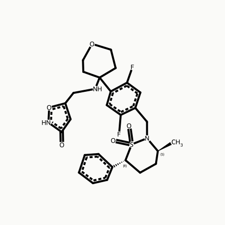 C[C@H]1CC[C@H](c2ccccc2)S(=O)(=O)N1Cc1cc(F)c(C2(NCc3cc(=O)[nH]o3)CCOCC2)cc1F